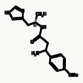 COc1ccc(C(N)CC(=O)N[C@H](Cc2c[nH]cn2)C(=O)O)cc1